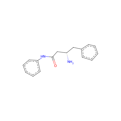 N[C@H](CC(=O)Nc1ccccc1)Cc1ccccc1